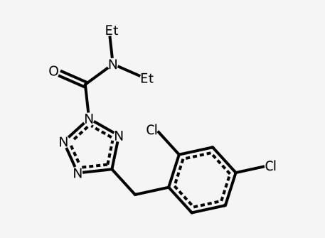 CCN(CC)C(=O)n1nnc(Cc2ccc(Cl)cc2Cl)n1